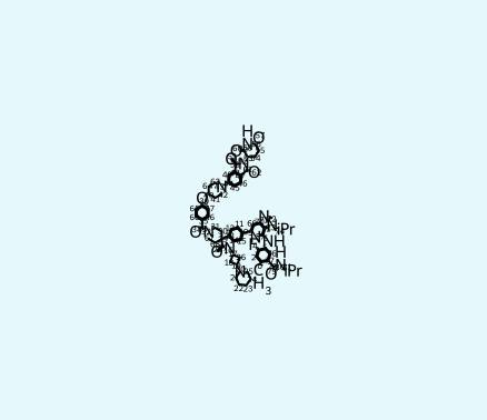 Cc1cc(F)c(Nc2nc(-c3ccc4c(c3)N(C3CC(N5CCCCC5)C3)C(=O)C43CCN(C(=O)c4ccc(OC5CCN(c6ccc7c(c6)C(=O)N(C6CCC(=O)NC6=O)C7=O)CC5)cc4)CC3)cc3ncn(C(C)C)c23)cc1C(=O)NC(C)C